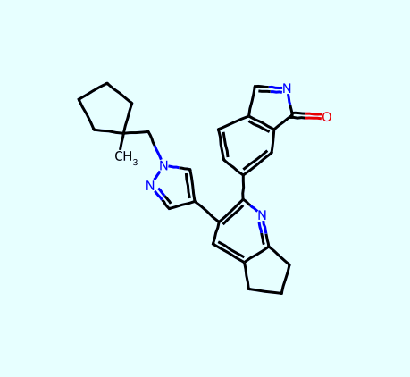 CC1(Cn2cc(-c3cc4c(nc3-c3ccc5c(c3)C(=O)N=C5)CCC4)cn2)CCCC1